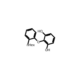 CCCCCCc1ccccc1Oc1c(O)cccc1O